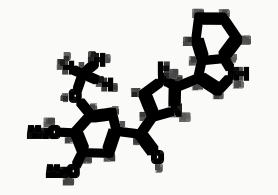 [2H]C([2H])([2H])Oc1cc(C(=O)c2c[nH]c(-c3c[nH]c4ccccc34)n2)cc(OC)c1OC